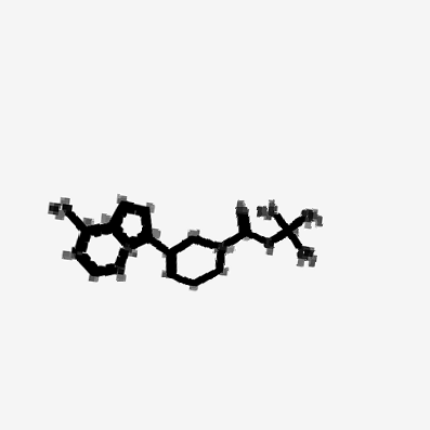 CC(C)(C)OC(=O)N1CCC=C(c2ccc3c(N)ncnn23)C1